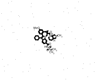 COc1ccc2c(c1)C1CC1(C(=O)N1CCC[C@H]3CN(C)C[C@H]31)CN1C2=C(C2CCCCC2)C2C=CC(C(=O)NS(=O)(=O)N(C)C)=CC21